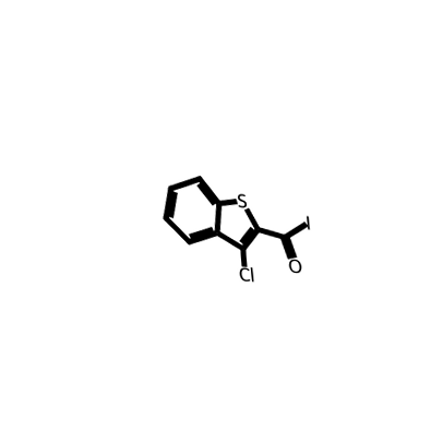 O=C(I)c1sc2ccccc2c1Cl